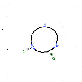 [Cl-].[Cl-].[Cl-].[Ti+3][N]1CCCCNCCCCNCCCC1